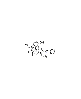 C=CCN1CC[C@]23c4c5ccc(O)c4OC2C(N(CC(C)C)C(=O)/C=C/c2cccc(C)c2)CC[C@@]3(O)[C@H]1C5